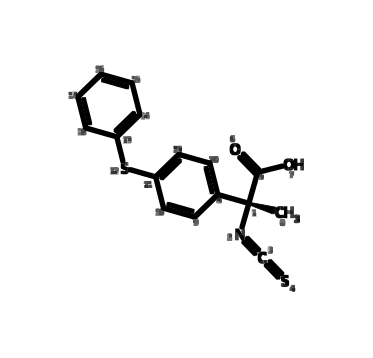 C[C@](N=C=S)(C(=O)O)c1ccc(Sc2ccccc2)cc1